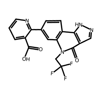 O=C(O)c1cccnc1-c1ccc2c3[nH]ncc3c(=O)n(CC(F)(F)F)c2c1